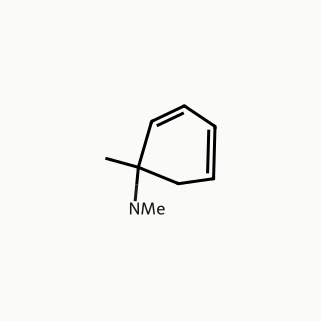 CNC1(C)C=CC=CC1